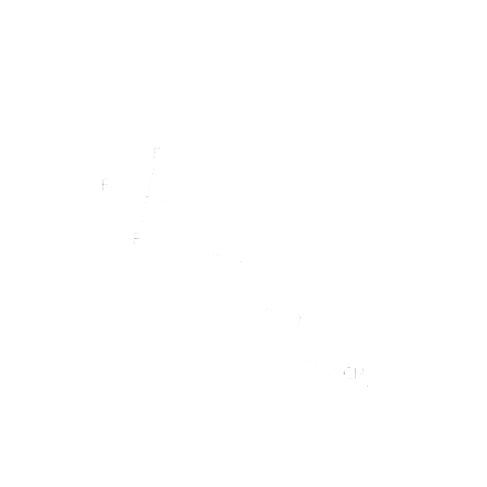 [CH2]COCCCCC(F)(F)F